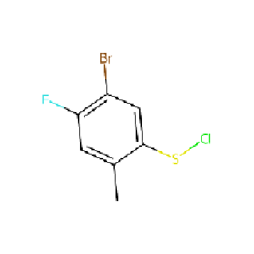 Cc1cc(F)c(Br)cc1SCl